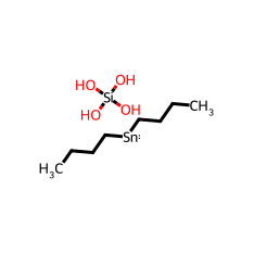 CCC[CH2][Sn][CH2]CCC.O[Si](O)(O)O